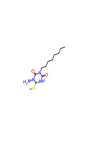 CCCCCCCCN1C(=O)NC(SC)N(N)C1=O